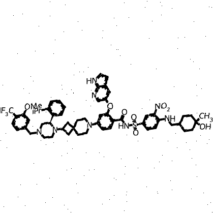 COc1cc(CN2CCN(C3CC4(CCN(c5ccc(C(=O)NS(=O)(=O)c6ccc(NCC7CCC(C)(O)CC7)c([N+](=O)[O-])c6)c(Oc6cnc7[nH]ccc7c6)c5)CC4)C3)[C@H](c3ccccc3C(C)C)C2)ccc1C(F)(F)F